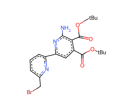 CC(C)(C)OC(=O)c1cc(-c2cccc(CBr)n2)nc(N)c1C(=O)OC(C)(C)C